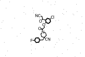 N#CCC(=O)c1cc(Cl)ccc1OCC(=O)N1CCC(C#N)(Cc2ccc(F)cc2)CC1